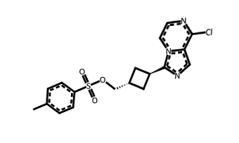 Cc1ccc(S(=O)(=O)OC[C@H]2C[C@H](c3ncc4c(Cl)nccn43)C2)cc1